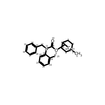 C[N+]12CCC(CC1)C(OC(=O)N(Cc1ccccc1)c1ccccc1F)C2